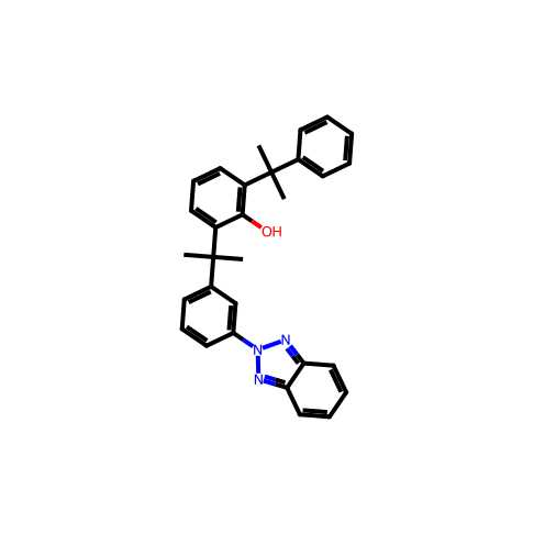 CC(C)(c1ccccc1)c1cccc(C(C)(C)c2cccc(-n3nc4ccccc4n3)c2)c1O